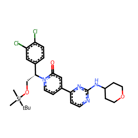 CC(C)(C)[Si](C)(C)OC[C@H](c1ccc(Cl)c(Cl)c1)n1ccc(-c2ccnc(NC3CCOCC3)n2)cc1=O